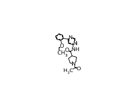 CCOc1ccccc1-c1cc(NC(=O)C2CCN(C(C)=O)CC2)ncn1